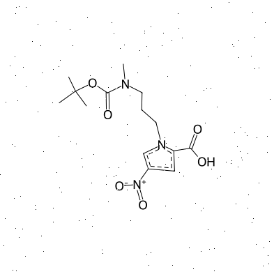 CN(CCCn1cc([N+](=O)[O-])cc1C(=O)O)C(=O)OC(C)(C)C